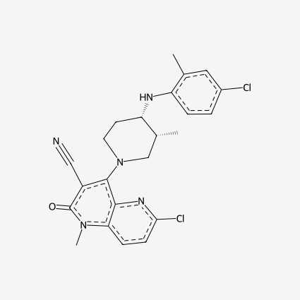 Cc1cc(Cl)ccc1N[C@H]1CCN(c2c(C#N)c(=O)n(C)c3ccc(Cl)nc23)C[C@H]1C